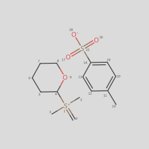 C=[S+](C)(C)C1CCCCO1.Cc1ccc(S(=O)(=O)[O-])cc1